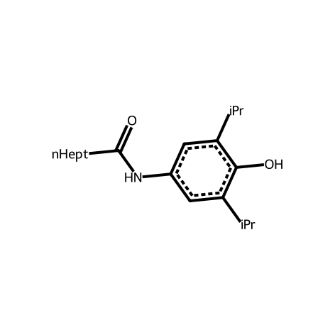 CCCCCCCC(=O)Nc1cc(C(C)C)c(O)c(C(C)C)c1